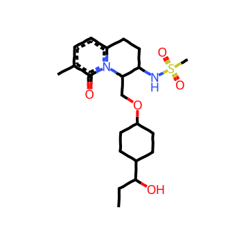 CCC(O)C1CCC(OCC2C(NS(C)(=O)=O)CCc3ccc(C)c(=O)n32)CC1